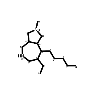 CCCCCC1C(CC)CNCC2CN(C)CC21